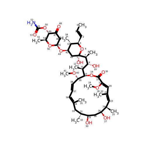 C/C=C/[C@H]1O[C@@](O)([C@@H](C)[C@H](O)[C@H](C)[C@H]2OC(=O)/C(OC)=C/C(C)=C/[C@@H](C)[C@@H](O)C[C@@H](O)[C@H](C)C/C(C)=C/C=C/[C@@H]2OC)C[C@@H](O[C@@H]2CC(=O)[C@@H](OC(N)=O)[C@H](C)O2)[C@@H]1C